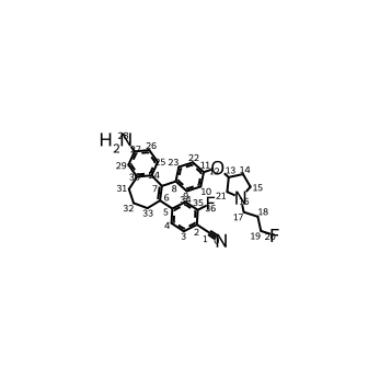 N#Cc1ccc(C2=C(c3ccc(OC4CCN(CCCF)C4)cc3)c3ccc(N)cc3CCC2)cc1F